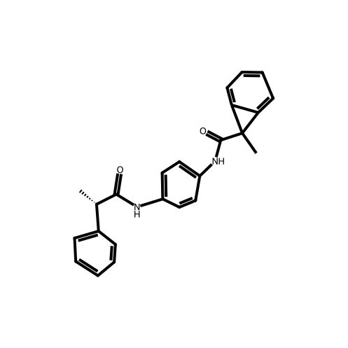 C[C@H](C(=O)Nc1ccc(NC(=O)C2(C)c3ccccc32)cc1)c1ccccc1